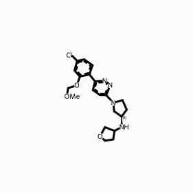 COCOc1cc(Cl)ccc1-c1ccc(N2CC[C@@H](NC3CCOC3)C2)nn1